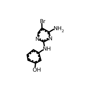 Nc1nc(Nc2cccc(O)c2)ncc1Br